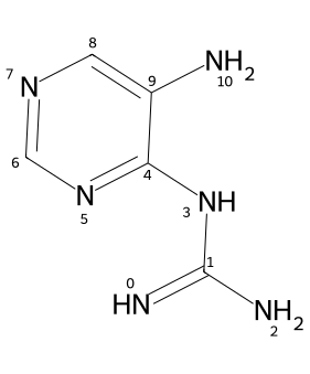 N=C(N)Nc1ncncc1N